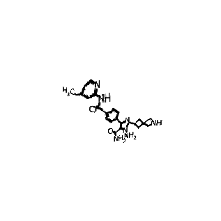 CCc1ccnc(NC(=O)c2ccc(-c3nc(C4CC5(CNC5)C4)n(N)c3C(N)=O)cc2)c1